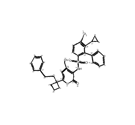 Cc1ccc(S(=O)(=O)Nc2c(O)cc(C3(CCc4ccccc4)CCC3)oc2=O)c(-c2ccccc2)c1C1CC1